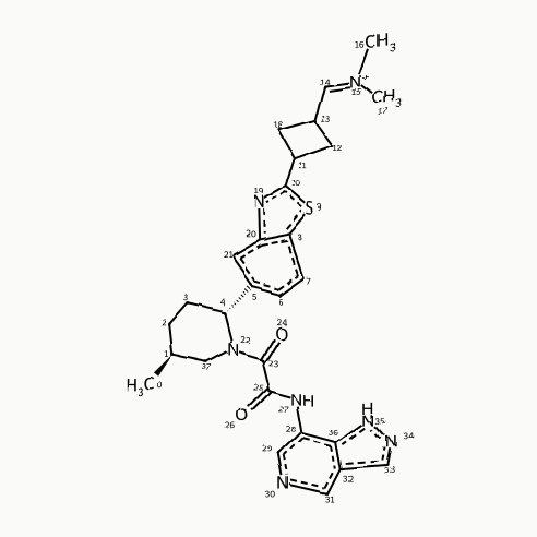 C[C@H]1CC[C@H](c2ccc3sc(C4CC(C=[N+](C)C)C4)nc3c2)N(C(=O)C(=O)Nc2cncc3cn[nH]c23)C1